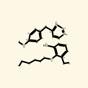 CCCCCCOc1c(O)cccc1CC.COc1ccc(Cc2ccnnn2)cc1